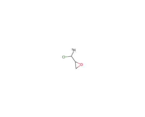 [2H]C(Cl)C1CO1